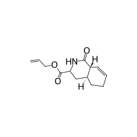 C=CCOC(=O)C1C[C@@H]2CCC=C[C@H]2C(=O)N1